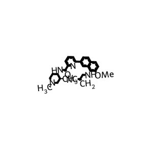 C=C(C#N)CNc1c(OC)ccc2ccc(-c3cccc(C(=O)N[C@@H]4CCN(C)C[C@@H]4C)n3)cc12